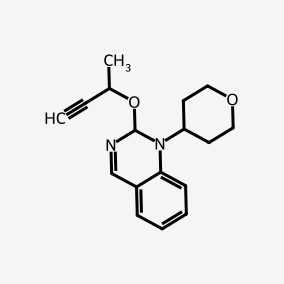 C#CC(C)OC1N=Cc2ccccc2N1C1CCOCC1